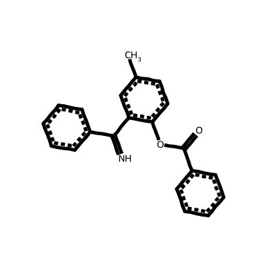 Cc1ccc(OC(=O)c2ccccc2)c(C(=N)c2ccccc2)c1